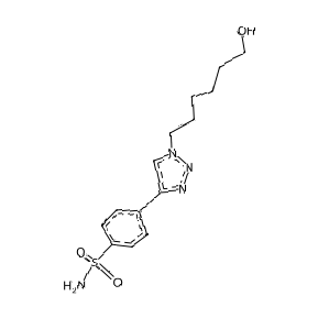 NS(=O)(=O)c1ccc(-c2cn(CCCCCCO)nn2)cc1